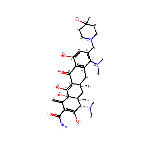 B=C1C(C(N)=O)=C(O)[C@@H](N(C)C)[C@@H]2C[C@@H]3Cc4c(c(O)cc(CN5CCC(C)(O)CC5)c4N(C)C)C(=O)C3=C(O)[C@]12O